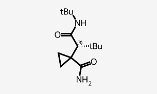 CC(C)(C)NC(=O)[C@H](C(C)(C)C)C1(C(N)=O)CC1